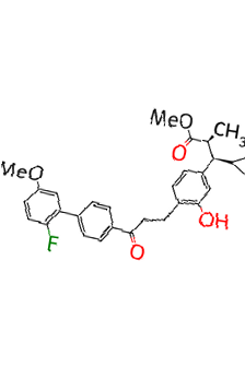 COC(=O)[C@@H](C)[C@H](c1ccc(CCC(=O)c2ccc(-c3cc(OC)ccc3F)cc2)c(O)c1)C1CC1